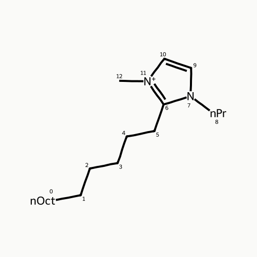 CCCCCCCCCCCCCc1n(CCC)cc[n+]1C